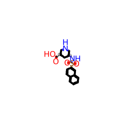 O=C(O)[C@@H]1CNC[C@H](NS(=O)(=O)c2ccc3ccccc3c2)C1